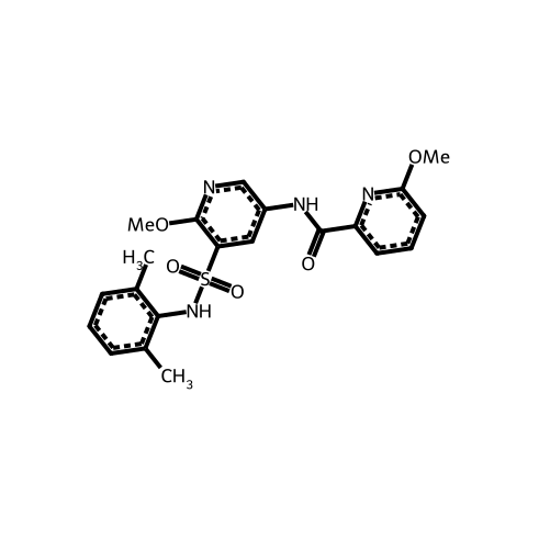 COc1cccc(C(=O)Nc2cnc(OC)c(S(=O)(=O)Nc3c(C)cccc3C)c2)n1